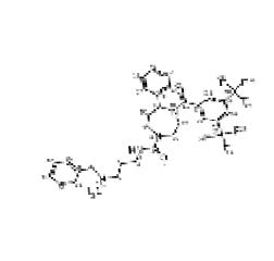 CN(CCCNC(=O)N1CCC(c2ccccc2)N(C(=O)c2cc(C(F)(F)F)cc(C(F)(F)F)c2)CC1)Cc1ccccc1